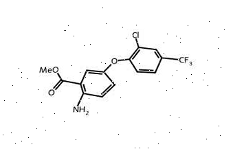 COC(=O)c1cc(Oc2ccc(C(F)(F)F)cc2Cl)ccc1N